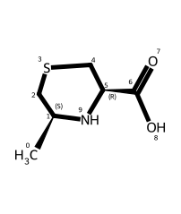 C[C@H]1CSC[C@@H](C(=O)O)N1